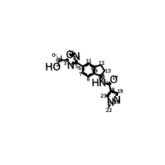 C[C@@H](O)c1nc(-c2ccc3c(c2)CC[C@H]3NC(=O)c2cnn(C)c2)no1